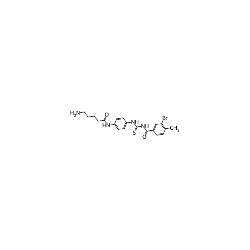 Cc1ccc(C(=O)NC(=S)Nc2ccc(NC(=O)CCCCN)cc2)cc1Br